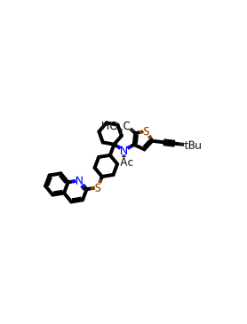 CC(=O)N(c1cc(C#CC(C)(C)C)sc1C(=O)O)C1(C2CCC(Sc3ccc4ccccc4n3)CC2)CCCCC1